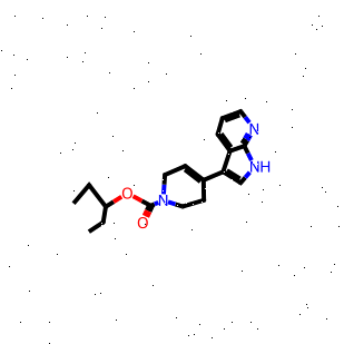 CCC(CC)OC(=O)N1CC=C(c2c[nH]c3ncccc23)CC1